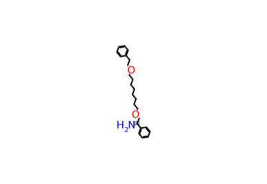 N[C@H](COCCCCCCCCOCCc1ccccc1)c1ccccc1